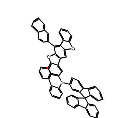 c1ccc(-c2ccccc2N(c2ccc3c(c2)C2(c4ccccc4-c4ccccc42)c2ccccc2-3)c2ccc3oc4c(-c5ccc6ccccc6c5)c5c(cc4c3c2)oc2ccccc25)cc1